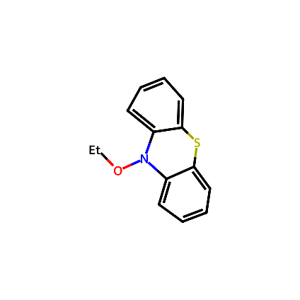 CCON1c2ccccc2Sc2ccccc21